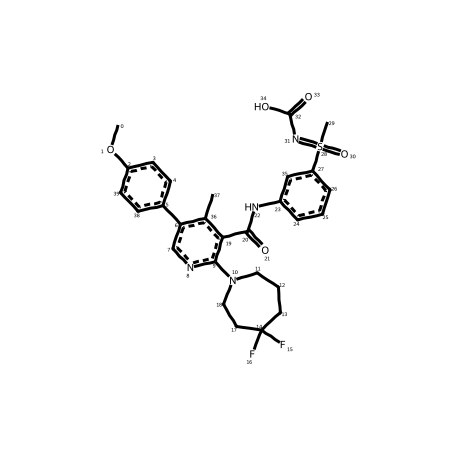 COc1ccc(-c2cnc(N3CCCC(F)(F)CC3)c(C(=O)Nc3cccc(S(C)(=O)=NC(=O)O)c3)c2C)cc1